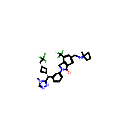 Cn1cnnc1C(c1cccc(N2Cc3c(cc(CNC4(C)CCC4)cc3C(F)(F)F)C2=O)c1)[C@H]1C[C@@H](CC(F)(F)F)C1